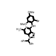 CCCC(CCC)n1nnc2c(Nc3c(Br)cc(OC)cc3OC)nc(C)cc21